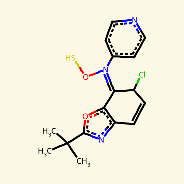 CC(C)(C)c1nc2c(o1)C(=[N+](OS)c1ccncc1)C(Cl)C=C2